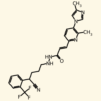 Cc1cn(-c2ccc(/C=C/C(=O)NNCCCC(C#N)c3ccccc3C(F)(F)F)nc2C)cn1